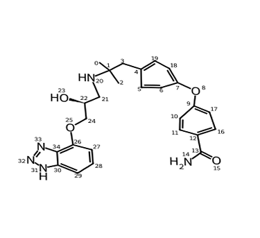 CC(C)(Cc1ccc(Oc2ccc(C(N)=O)cc2)cc1)NC[C@H](O)COc1cccc2[nH]nnc12